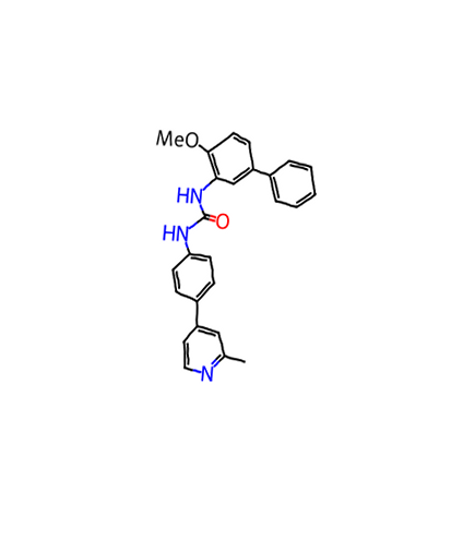 COc1ccc(-c2ccccc2)cc1NC(=O)Nc1ccc(-c2ccnc(C)c2)cc1